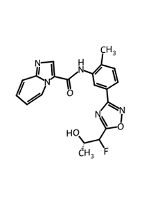 Cc1ccc(-c2noc(C(F)[C@H](C)O)n2)cc1NC(=O)c1cnc2ccccn12